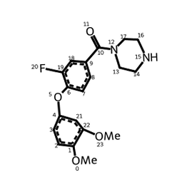 COc1ccc(Oc2ccc(C(=O)N3CCNCC3)cc2F)cc1OC